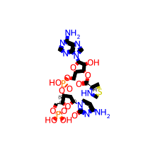 Nc1ccn([C@H]2C[C@H](OP(=O)(O)OCC3OC(n4cnc5c(N)ncnc54)C(O)C3OC(=O)[C@@H]3CSCN3)[C@@H](COP(=O)(O)O)O2)c(=O)n1